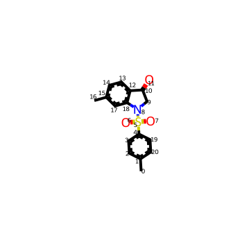 Cc1ccc(S(=O)(=O)N2CC(=O)c3ccc(C)cc32)cc1